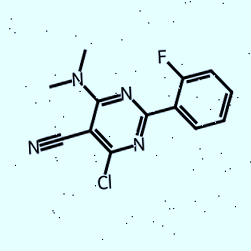 CN(C)c1nc(-c2ccccc2F)nc(Cl)c1C#N